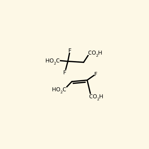 O=C(O)/C=C(/F)C(=O)O.O=C(O)CC(F)(F)C(=O)O